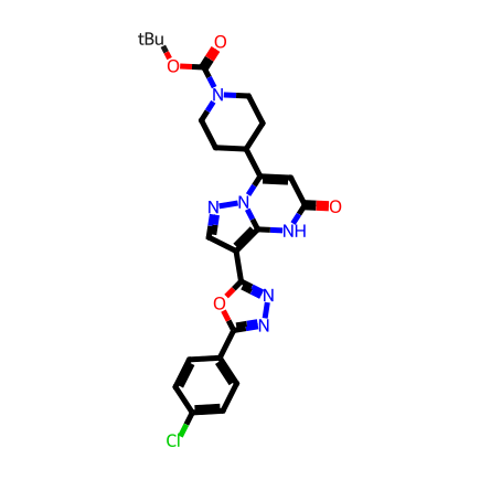 CC(C)(C)OC(=O)N1CCC(c2cc(=O)[nH]c3c(-c4nnc(-c5ccc(Cl)cc5)o4)cnn23)CC1